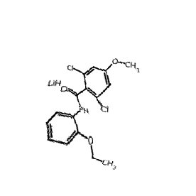 CCOc1ccccc1PC(=O)c1c(Cl)cc(OC)cc1Cl.[LiH]